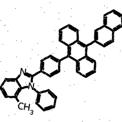 Cc1cccc2nc(-c3ccc(-c4c5ccccc5c(-c5ccc6ccccc6c5)c5ccccc45)cc3)n(-c3ccccc3)c12